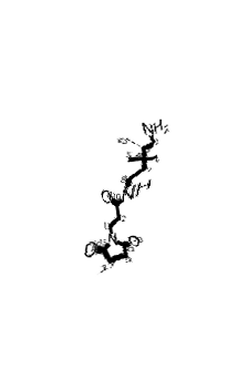 C[C@H](CN)C(C)(C)CCNC(=O)CCN1C(=O)C=CC1=O